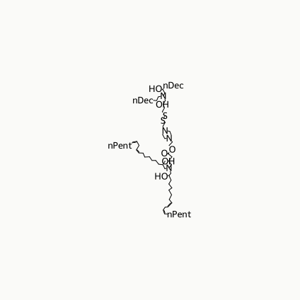 CCCCC/C=C\C/C=C\CCCCCC[C@@H](O)CN(CCCC(=O)OCCN1CCN(CCSSCCCCN(CC(O)CCCCCCCCCC)CC(O)CCCCCCCCCC)CC1)C[C@H](O)CCCCCC/C=C\C/C=C\CCCCC